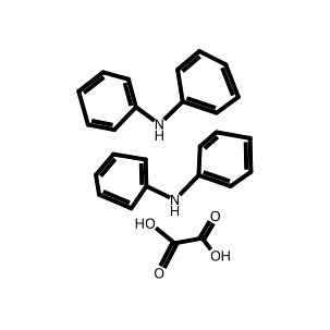 O=C(O)C(=O)O.c1ccc(Nc2ccccc2)cc1.c1ccc(Nc2ccccc2)cc1